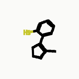 CC1=C(c2ccccc2S)CCC1